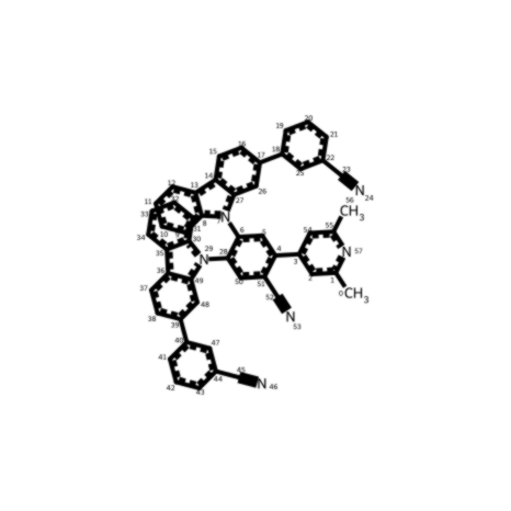 Cc1cc(-c2cc(-n3c4ccccc4c4ccc(-c5cccc(C#N)c5)cc43)c(-n3c4ccccc4c4ccc(-c5cccc(C#N)c5)cc43)cc2C#N)cc(C)n1